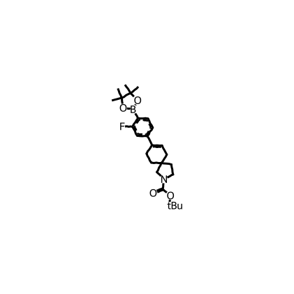 CC(C)(C)OC(=O)N1CCC2(CC=C(c3ccc(B4OC(C)(C)C(C)(C)O4)c(F)c3)CC2)C1